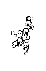 Cc1cc(S(=O)(=O)Cc2ccco2)cc(=O)n1[C@@H](CC1CCOCC1)C(=O)Nc1ncc(Cl)s1